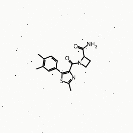 Cc1nc(C(=O)N2CCC2C(N)=O)c(-c2ccc(C)c(C)c2)s1